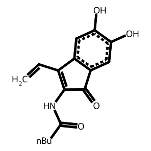 C=CC1=C(NC(=O)CCCC)C(=O)c2cc(O)c(O)cc21